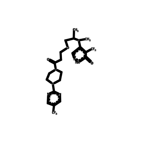 CC(COCCC(=O)N1CCN(c2ncc(C(F)(F)F)cn2)CC1)N(C)c1cn[nH]c(=O)c1C(F)(F)F